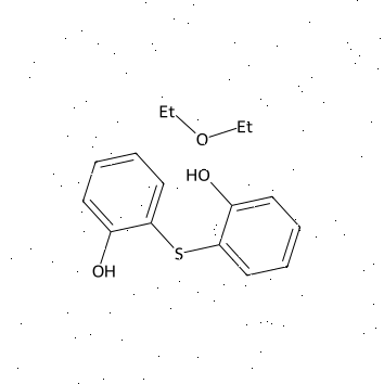 CCOCC.Oc1ccccc1Sc1ccccc1O